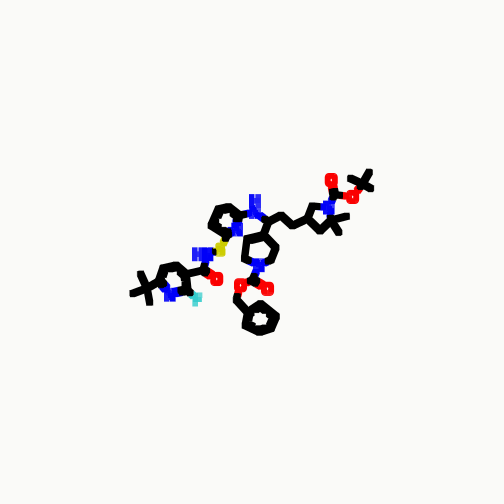 CC(C)(C)OC(=O)N1CC(CCC(Nc2cccc(SNC(=O)c3ccc(C(C)(C)C)nc3F)n2)C2=CCN(C(=O)OCc3ccccc3)CC2)CC1(C)C